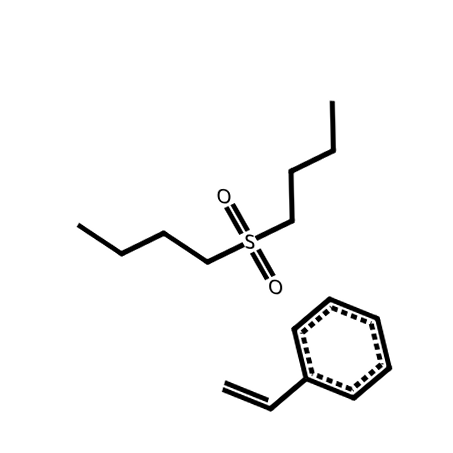 C=Cc1ccccc1.CCCCS(=O)(=O)CCCC